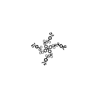 C=C[Si](CC)(CC)c1ccc(C(=O)OOC(=O)OC2CCC(C(C3CCC(OC(=O)OOC(=O)c4ccc([Si](C=C)(CC)CC)cc4)CC3)(C3CCC(OC(=O)OOC(=O)c4ccc([Si](C=C)(CC)CC)cc4)CC3)C3CCC(OC(=O)OOC(=O)c4ccc([Si](C=C)(CC)CC)cc4)CC3)CC2)cc1